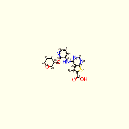 Cc1c(C(=O)O)sc2ncnc(Nc3cccnc3OC3CCCOC3)c12